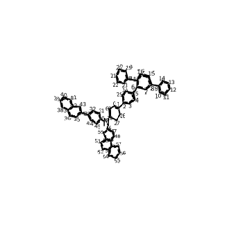 C1=C(c2ccc(-c3cc(-c4ccccc4)ccc3-c3ccccc3)cc2)CCC(N(c2ccc(-c3ccc4ccccc4c3)cc2)c2ccc3c(ccc4ccccc43)c2)=C1